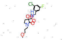 COCCCN1CCC(O)(C(=O)NCc2cc(F)cc(Cl)c2)C1=O